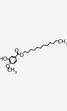 CCCCCCCCCCCCOC(=O)c1ccc(OC)c(O)c1